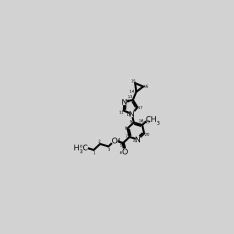 CCCCOC(=O)c1cc(-n2cnc(C3CC3)c2)c(C)cn1